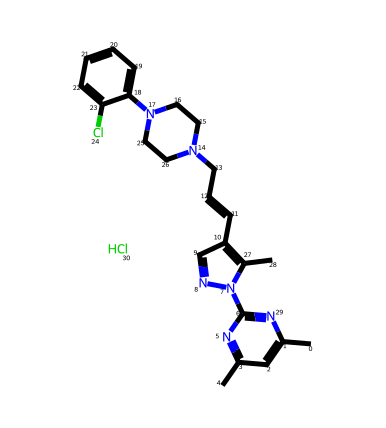 Cc1cc(C)nc(-n2ncc(/C=C/CN3CCN(c4ccccc4Cl)CC3)c2C)n1.Cl